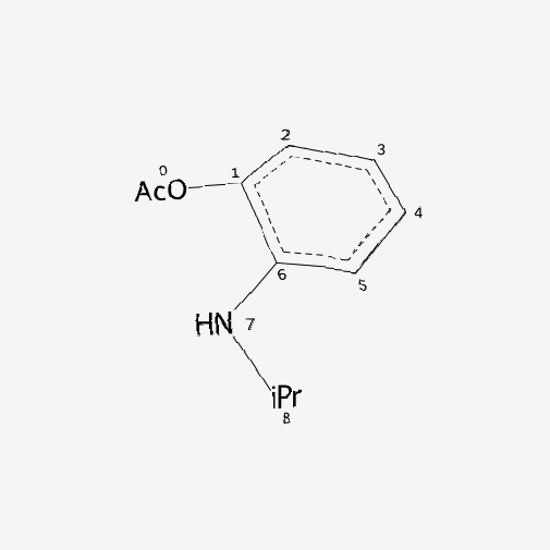 CC(=O)Oc1ccccc1NC(C)C